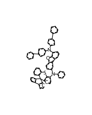 c1ccc(-c2ccc(N(c3ccc(-c4ccccc4)cc3)c3cccc4c3oc3ccc(N(c5ccccc5)c5cccc6c5Sc5ccccc5C65c6ccccc6-c6ccccc65)cc34)cc2)cc1